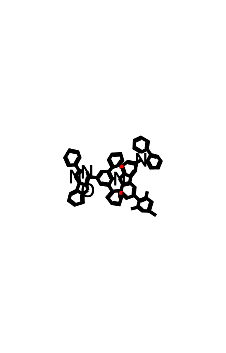 Cc1cc(C)c(-c2ccc3c(c2)c2cc(-n4c5ccccc5c5ccccc54)ccc2n3-c2c(-c3ccccc3)cc(-c3nc(-c4ccccc4)nc4c3oc3ccccc34)cc2-c2ccccc2)c(C)c1